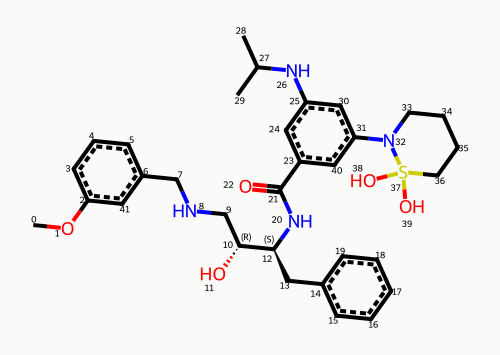 COc1cccc(CNC[C@@H](O)[C@H](Cc2ccccc2)NC(=O)c2cc(NC(C)C)cc(N3CCCCS3(O)O)c2)c1